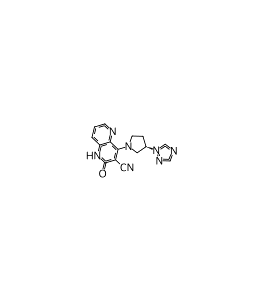 N#Cc1c(N2CC[C@@H](n3cncn3)C2)c2ncccc2[nH]c1=O